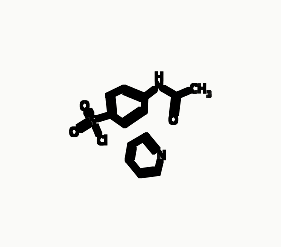 CC(=O)Nc1ccc(S(=O)(=O)Cl)cc1.c1ccncc1